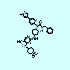 Cn1cc(-c2ccc(N(C(=O)NCc3ccccc3)[C@H]3CC[C@H](Nc4ncc(C#N)c(NC5CCS(=O)(=O)CC5)n4)CC3)nc2)cn1